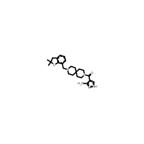 CC1(C)Cc2cccc(CN3CCC4(CC3)CCN(C(=O)c3c[nH]nc3N)CC4)c2O1